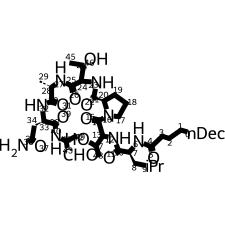 CCCCCCCCCCCCCC(=O)N[C@@H](CC(C)C)C(=O)NC(C(=O)N1CCC[C@@H]1C(=O)NC(C(=O)N[C@@H](C)C(=O)N[C@@H](CC(N)=O)C(=O)NC(C)C=O)C(C)O)C(C)O